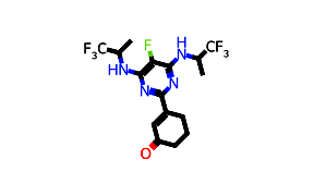 CC(Nc1nc(C2=CC(=O)CCC2)nc(NC(C)C(F)(F)F)c1F)C(F)(F)F